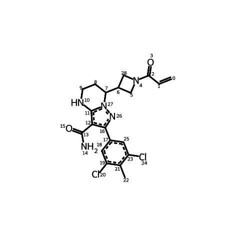 C=CC(=O)N1CC(C2CCNc3c(C(N)=O)c(-c4cc(Cl)c(C)c(Cl)c4)nn32)C1